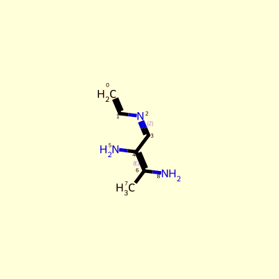 C=C/N=C\C(N)=C(\C)N